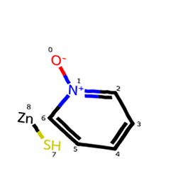 [O-][n+]1ccccc1.[SH][Zn]